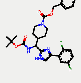 CC(C)(C)OC(=O)NC(c1nc(-c2cc(F)ccc2F)c[nH]1)C1CCN(C(=O)OCc2ccccc2)CC1